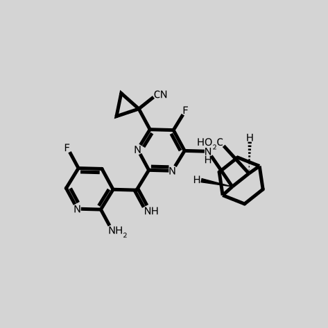 N#CC1(c2nc(C(=N)c3cc(F)cnc3N)nc(N[C@H]3C4CCC(CC4)[C@@H]3C(=O)O)c2F)CC1